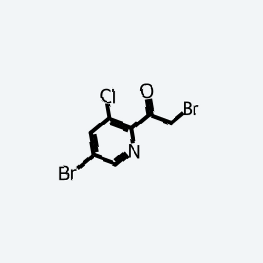 O=C(CBr)c1ncc(Br)cc1Cl